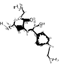 CCOc1ccc(/C(=N/C(=C/C(C)=O)C(=O)OCN)SS)cc1